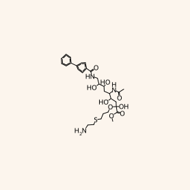 COC(=O)C(O)(CC(O)C(CC(O)C(O)CNC(=O)c1ccc(-c2ccccc2)cc1)NC(C)=O)OCCCSCCN